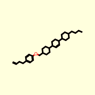 C=CCCc1ccc(OCC2CCC(C3C=CC(C4CCC(CCCC)CC4)CC3)CC2)cc1